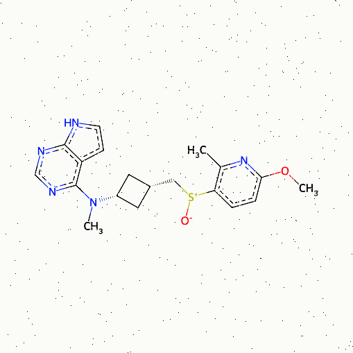 COc1ccc([S+]([O-])C[C@H]2C[C@@H](N(C)c3ncnc4[nH]ccc34)C2)c(C)n1